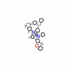 Cc1cc2c3c(c1)N(c1cc4c(cc1C)C(C)(C)CCC4(C)C)c1cc(C(Cc4ccccc4)c4ccccc4)ccc1B3N(c1ccccc1)c1cc3c(cc1-2)Oc1ccccc1C3(C)C